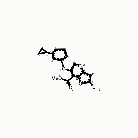 COC(=O)c1c(Oc2cccc(C3CC3)c2)cnc2cc(C)oc12